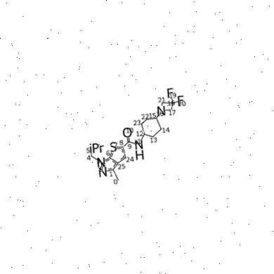 Cc1nn(CC(C)C)c2sc(C(=O)NC3CCC(N4CC(F)(F)C4)CC3)cc12